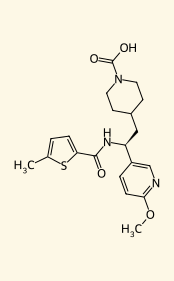 COc1ccc([C@H](CC2CCN(C(=O)O)CC2)NC(=O)c2ccc(C)s2)cn1